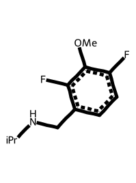 COc1c(F)ccc(CNC(C)C)c1F